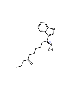 CCOC(=O)CCCCC/C(=N\O)c1c[nH]c2ccccc12